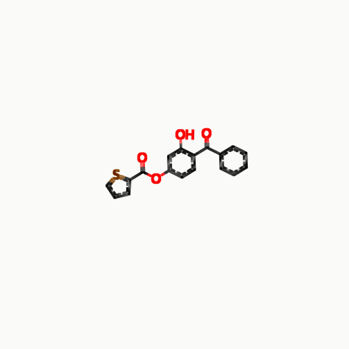 O=C(Oc1ccc(C(=O)c2ccccc2)c(O)c1)c1cccs1